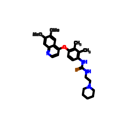 COc1cc2nccc(Oc3ccc(NC(=S)NCCN4CCCCC4)c(C)c3C)c2cc1OC